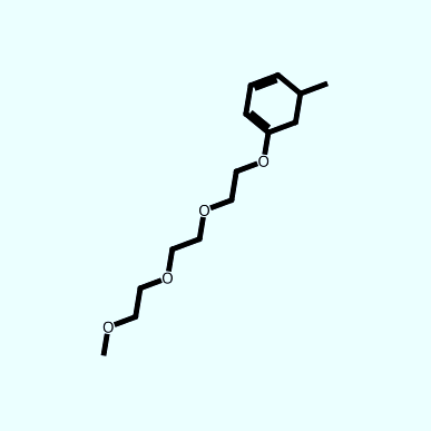 COCCOCCOCCOC1=CC=CC(C)C1